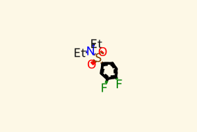 CCN(CC)S(=O)(=O)c1ccc(F)c(F)c1